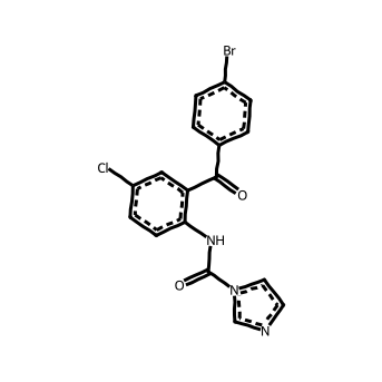 O=C(c1ccc(Br)cc1)c1cc(Cl)ccc1NC(=O)n1ccnc1